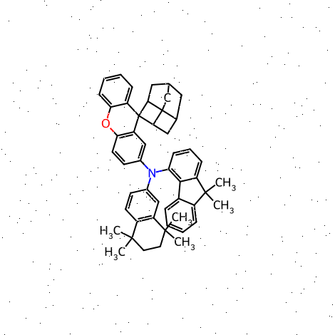 CC1(C)CCC(C)(C)c2cc(N(c3ccc4c(c3)C3(c5ccccc5O4)C4CC5CC6CC3C64C5)c3cccc4c3-c3ccccc3C4(C)C)ccc21